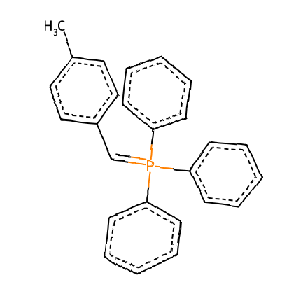 Cc1ccc(C=P(c2ccccc2)(c2ccccc2)c2ccccc2)cc1